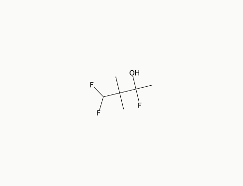 CC(O)(F)C(C)(C)C(F)F